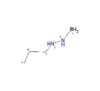 BNNCCC